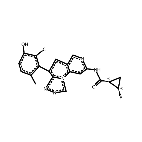 Cc1ccc(O)c(Cl)c1-c1cc2cnc(NC(=O)[C@H]3C[C@H]3F)cc2n2cnnc12